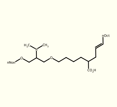 CCCCCCCCC=CCC(CCCCOCC(COCCCCCCCCC)N(C)C)C(=O)O